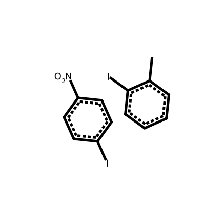 Cc1ccccc1I.O=[N+]([O-])c1ccc(I)cc1